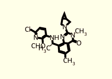 Cc1cc([C@H](C)Nc2ccc(Cl)nc2C=O)c2nc(N3CC4CC4C3)n(C)c(=O)c2c1